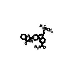 CN(C)CCN1CC2(CCN(c3nc4c(c(=O)[nH]3)CCCC4)CC2)c2cc(C(N)=O)ccc21